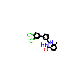 Cc1cccc2c(=O)[nH]c(-c3cccc(-c4ccc(Cl)c(Cl)c4)c3)nc12